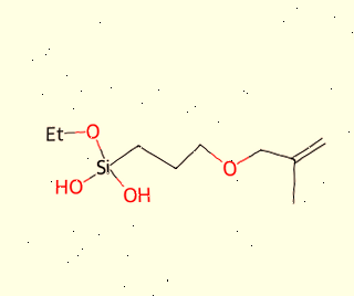 C=C(C)COCCC[Si](O)(O)OCC